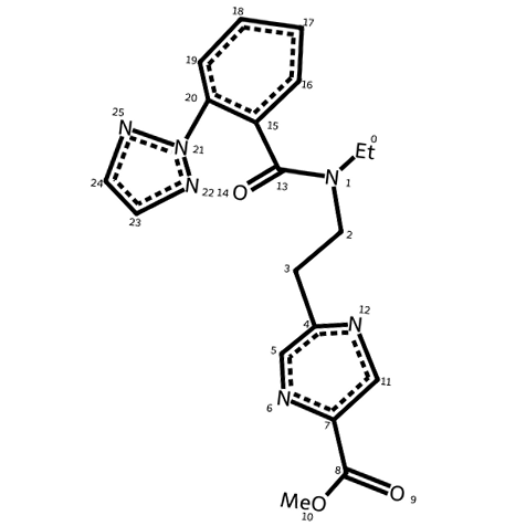 CCN(CCc1cnc(C(=O)OC)cn1)C(=O)c1ccccc1-n1nccn1